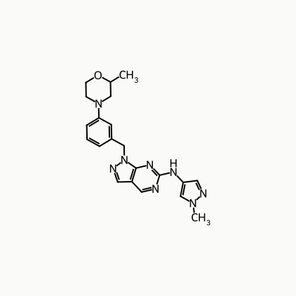 CC1CN(c2cccc(Cn3ncc4cnc(Nc5cnn(C)c5)nc43)c2)CCO1